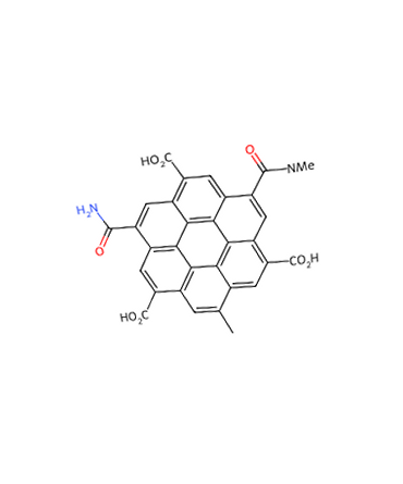 CNC(=O)c1cc2c(C(=O)O)cc3c(C)cc4c(C(=O)O)cc5c(C(N)=O)cc6c(C(=O)O)cc1c1c2c3c4c5c61